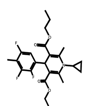 CCCOC(=O)C1=C(C)N(C2CC2)C(C)=C(C(=O)OCC)C1c1cc(F)c(C)c(F)c1F